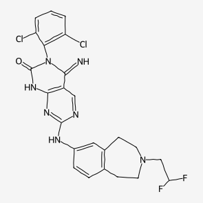 N=c1c2cnc(Nc3ccc4c(c3)CCN(CC(F)F)CC4)nc2[nH]c(=O)n1-c1c(Cl)cccc1Cl